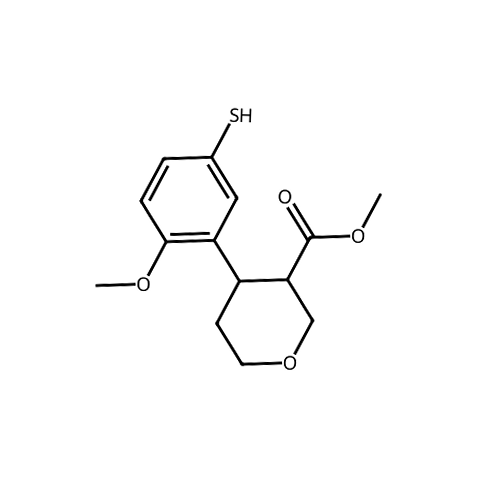 COC(=O)C1COCCC1c1cc(S)ccc1OC